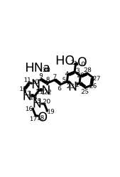 O=C(O)c1cc(/C=C/c2cn3ccnc(N4CCOCC4)c3n2)nc2ccccc12.[NaH]